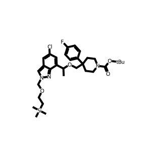 CC(OCC1(c2ccc(F)cc2)CCN(C(=O)OC(C)(C)C)CC1)c1cc(Cl)cc2cn(COCC[Si](C)(C)C)nc12